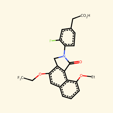 CCOc1cccc2cc(OCC(F)(F)F)c3c(c12)C(=O)N(c1ccc(CC(=O)O)cc1F)C3